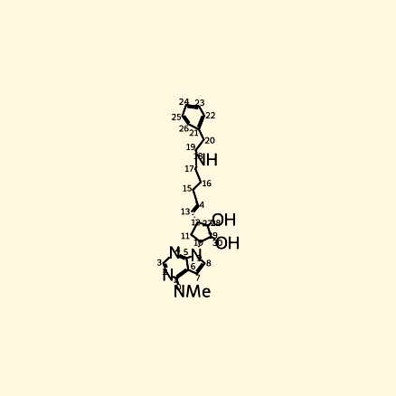 CNc1ncnc2c1ccn2[C@@H]1C[C@H](/C=C/CCCNCCc2ccccc2)[C@@H](O)[C@H]1O